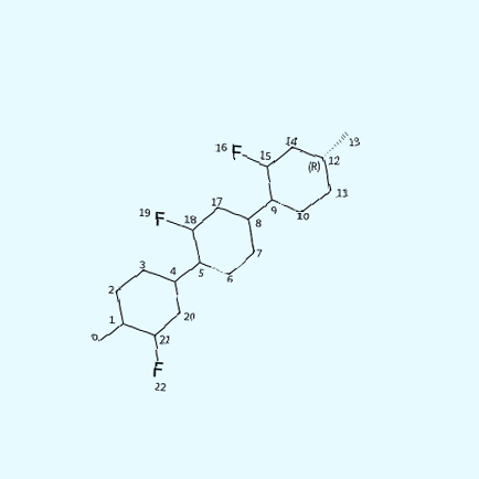 CC1CCC(C2CCC(C3CC[C@@H](C)CC3F)CC2F)CC1F